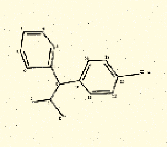 [CH2]C(C)C(c1ccccc1)c1ccc(F)cc1